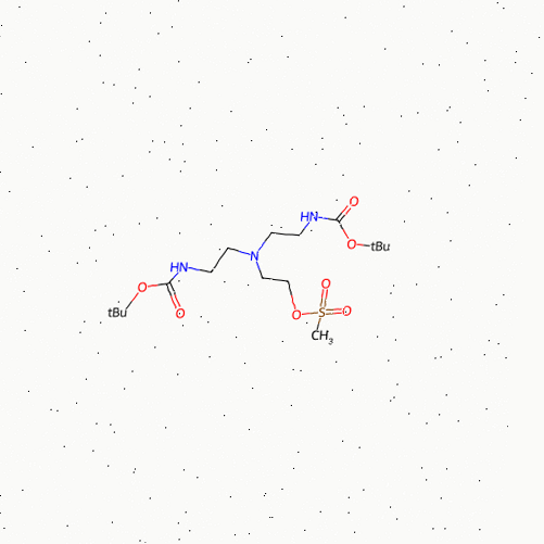 CC(C)(C)OC(=O)NCCN(CCNC(=O)OC(C)(C)C)CCOS(C)(=O)=O